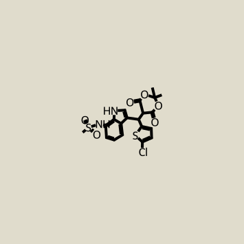 CC1(C)OC(=O)C(C(c2ccc(Cl)s2)c2c[nH]c3c(NS(C)(=O)=O)cccc23)C(=O)O1